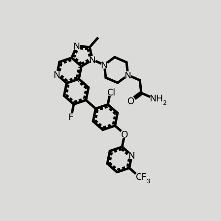 Cc1nc2cnc3cc(F)c(-c4ccc(Oc5cccc(C(F)(F)F)n5)cc4Cl)cc3c2n1N1CCN(CC(N)=O)CC1